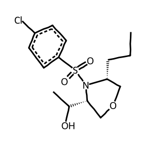 CCC[C@@H]1COC[C@H](C(C)O)N1S(=O)(=O)c1ccc(Cl)cc1